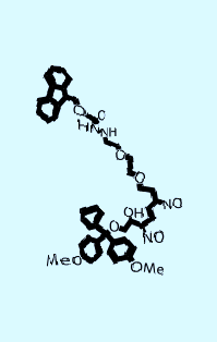 COc1ccc(C(OC[C@@H](O)[C@@H](CCC(CCOCCOCCNNC(=O)OCC2c3ccccc3-c3ccccc32)N=O)N=O)(c2ccccc2)c2ccc(OC)cc2)cc1